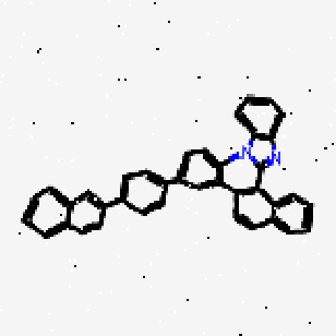 c1ccc2cc(-c3ccc(-c4ccc5c(c4)c4ccc6ccccc6c4c4nc6ccccc6n54)cc3)ccc2c1